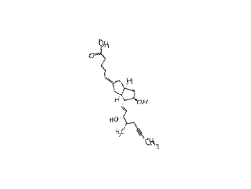 CC#CCC(C)[C@H](O)/C=C/[C@@H]1[C@H]2CC(=CCCCC(=O)O)C[C@H]2C[C@H]1O